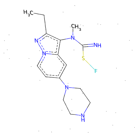 CCc1nn2ccc(N3CCNCC3)cc2c1N(C)C(=N)SF